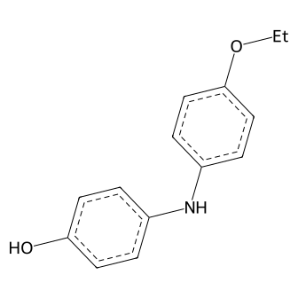 CCOc1ccc(Nc2ccc(O)cc2)cc1